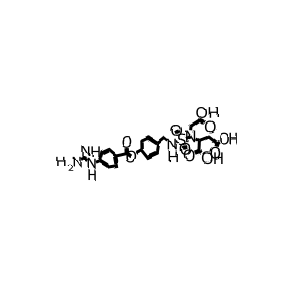 N=C(N)Nc1ccc(C(=O)Oc2ccc(CNS(=O)(=O)N(CC(=O)O)C(CC(=O)O)C(=O)O)cc2)cc1